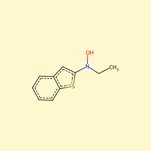 CCN(O)c1cc2ccccc2s1